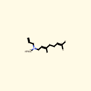 C=CCN(C/C=C(\C)CCC=C(C)C)CCCCCC